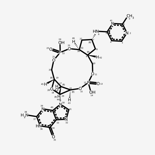 Cc1nccc(N[C@@H]2C[C@@H]3COP(=O)(O)O[C@@H]4[C@H](O)[C@@H](COP(=O)(O)O[C@H]3C2)O[C@H]4n2cnc3c(=O)[nH]c(N)nc32)n1